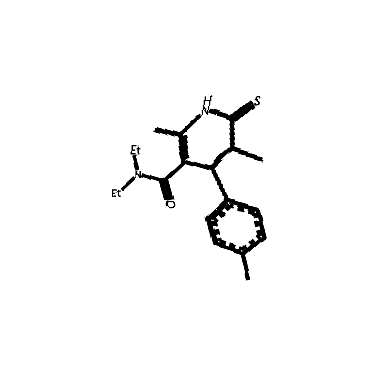 CCN(CC)C(=O)C1=C(C)NC(=S)C(C)C1c1ccc(C)cc1